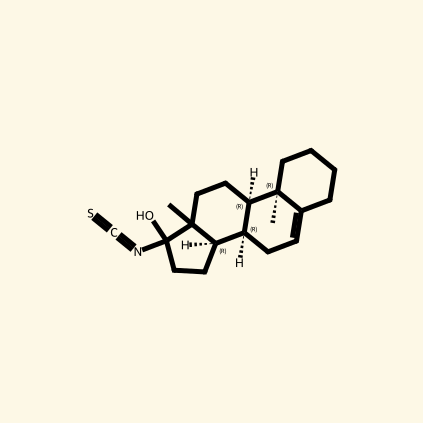 CC12CC[C@@H]3[C@@H](CC=C4CCCC[C@@]43C)[C@H]1CCC2(O)N=C=S